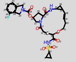 O=C(NS(=O)(=O)C1CC1)C1CCC(=O)N2CC(OC(=O)N3Cc4cccc(F)c4C3)CC2C(=O)NC2CC2/C=C/CCO1